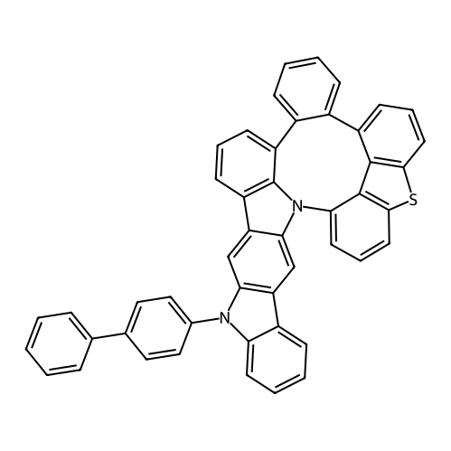 c1ccc(-c2ccc(-n3c4ccccc4c4cc5c(cc43)c3cccc4c6ccccc6c6cccc7sc8cccc(c8c76)n5c43)cc2)cc1